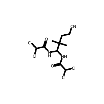 CC(C)(CCC#N)C(NC(=O)C(Cl)Cl)NC(=O)C(Cl)Cl